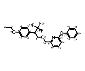 CCOc1ccc(C(COCc2cccc(Oc3ccccc3)n2)C(F)(F)F)cc1